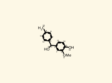 COc1cc(C(O)c2ccc(C)cc2)ccc1O